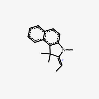 C/C=C1/N(C)c2ccc3ccccc3c2C1(C)C